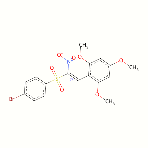 COc1cc(OC)c(/C=C(\[N+](=O)[O-])S(=O)(=O)c2ccc(Br)cc2)c(OC)c1